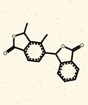 C[C]1OC(=O)c2ccc(C3OC(=O)c4ccccc43)c(C)c21